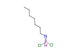 CCCCCCCN=[PH](Cl)Cl